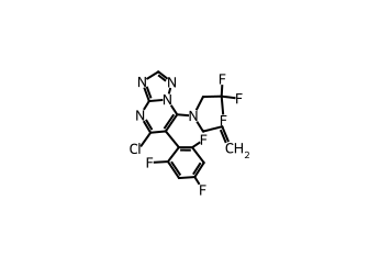 C=CCN(CC(F)(F)F)c1c(-c2c(F)cc(F)cc2F)c(Cl)nc2ncnn12